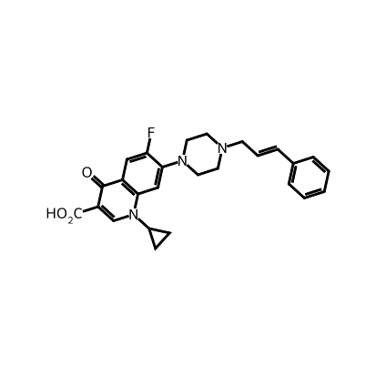 O=C(O)c1cn(C2CC2)c2cc(N3CCN(C/C=C/c4ccccc4)CC3)c(F)cc2c1=O